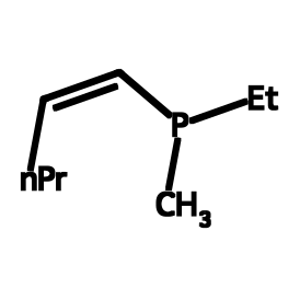 CCC/C=C\P(C)CC